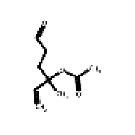 C=CC(C)(CCC=O)OC(C)=O